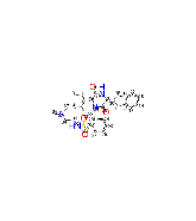 CCC(CC)[C@@H]1C(=O)N[C@H](C2Cc3ccccc3C2)C(=O)N1Cc1ccccc1S(=O)(=O)NCCN(C)C